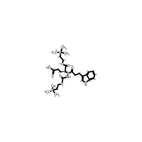 C[Si](C)(C)CCOC(=O)NN(C(=O)CCc1c[nH]c2ccccc12)[C@@H](CCC(=O)O)C(=O)OCC[Si](C)(C)C